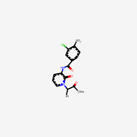 COC(=O)C(C(C)C)n1cccc(NC(=O)c2ccc([N+](=O)[O-])c(Cl)c2)c1=O